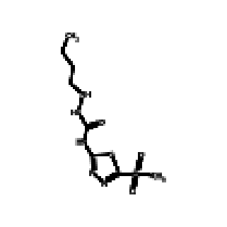 CCCCNNC(=O)Nc1nnc(S(C)(=O)=O)s1